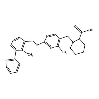 Cc1nc(OCc2cccc(-c3ccccc3)c2C)ncc1CN1CCCCC1C(=O)O